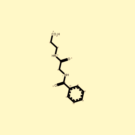 O=C(O)CCNC(=O)CNC(=O)c1ccccc1